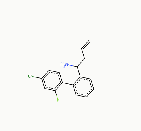 C=CCC(N)c1ccccc1-c1ccc(Cl)cc1F